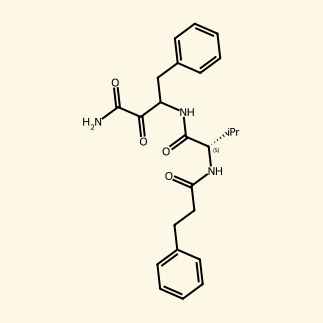 CC(C)[C@H](NC(=O)CCc1ccccc1)C(=O)NC(Cc1ccccc1)C(=O)C(N)=O